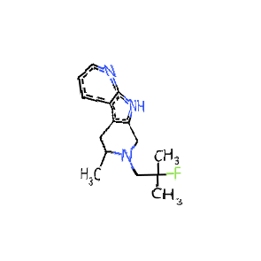 CC1Cc2c([nH]c3ncccc23)CN1CC(C)(C)F